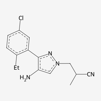 CCc1ccc(Cl)cc1-c1nn(CC(C)C#N)cc1N